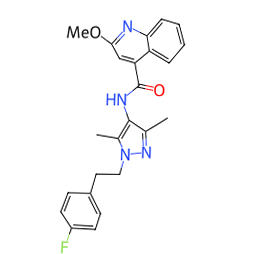 COc1cc(C(=O)Nc2c(C)nn(CCc3ccc(F)cc3)c2C)c2ccccc2n1